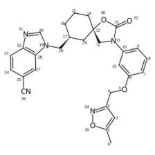 Cc1cc(COc2cccc(N3C[C@@]4(CCC[C@H](Cn5cnc6ccc(C#N)cc65)C4)OC3=O)c2)no1